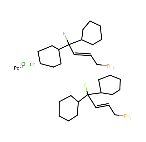 FC(C=CCP)(C1CCCCC1)C1CCCCC1.FC(C=CCP)(C1CCCCC1)C1CCCCC1.[Cl-].[Cl-].[Pd+2]